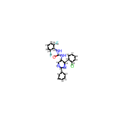 O=C(Nc1cnc(-c2ccccc2)nc1-c1ccccc1Cl)Nc1c(F)cccc1F